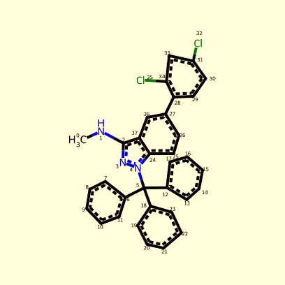 CNc1nn(C(c2ccccc2)(c2ccccc2)c2ccccc2)c2ccc(-c3ccc(Cl)cc3Cl)cc12